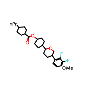 CCCC1CCC(C(=O)OC2CCC(C3CCC(c4ccc(OC)c(F)c4F)CO3)CC2)CC1